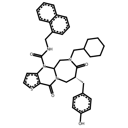 O=C1[C@H](Cc2ccc(O)cc2)CN2C(=O)c3sccc3N(C(=O)NCc3cccc4ccccc34)C2CN1CC1CCCCC1